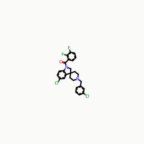 O=C(c1cccc(F)c1F)N1CC2(CCN(Cc3cccc(Cl)c3)CC2)c2cc(Cl)ccc21